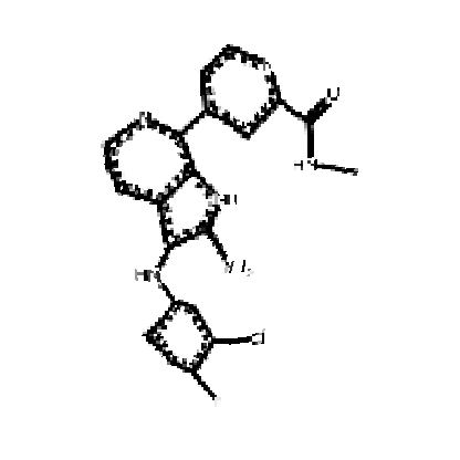 CNC(=O)c1cc(-c2nccc3c(Nc4ccc(F)c(Cl)c4)c(N)[nH]c23)ccn1